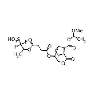 COC(C)OC(=O)C1C2CC3C(OC(=O)C31)C2OC(=O)CCC(=O)OC(C)C(F)(F)S(=O)(=O)O